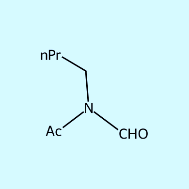 CCCCN(C=O)C(C)=O